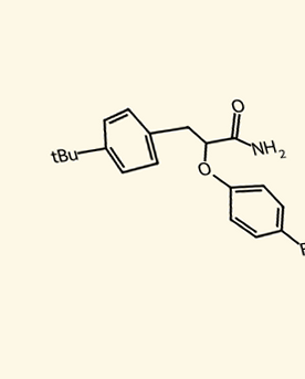 CC(C)(C)c1ccc(CC(Oc2ccc(F)cc2)C(N)=O)cc1